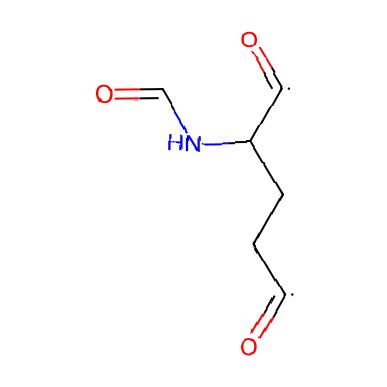 O=[C]CCC([C]=O)NC=O